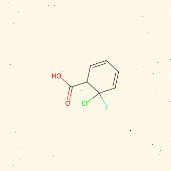 O=C(O)C1C=CC=CC1(F)Cl